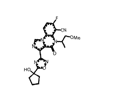 COCC(C)n1c(=O)c2c(-c3noc(C4(O)CCCC4)n3)ncn2c2ccc(F)c(C#N)c21